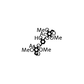 COc1c(C(C)=O)c(OCc2ccc(COc3c(C(C)=O)c(OC)c4ccoc4c3OC)c(O)c2)c(OC)c2occc12